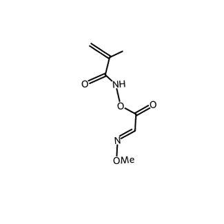 C=C(C)C(=O)NOC(=O)C=NOC